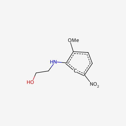 COc1ccc([N+](=O)[O-])cc1NCCO